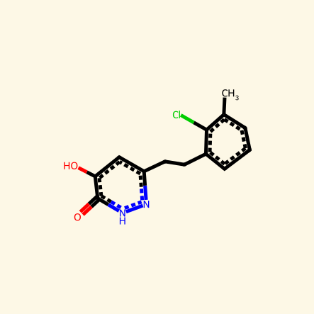 Cc1cccc(CCc2cc(O)c(=O)[nH]n2)c1Cl